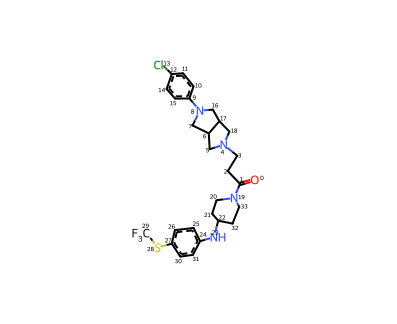 O=C(CCN1CC2CN(c3ccc(Cl)cc3)CC2C1)N1CCC(Nc2ccc(SC(F)(F)F)cc2)CC1